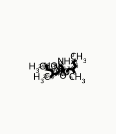 CCCCC(CC)COP(=O)(CC(N)=NO)OCC(CC)CCCC